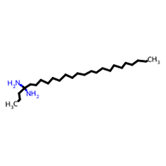 CCCCCCCCCCCCCCCCCCCCCC(N)(N)CCC